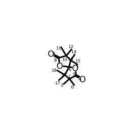 CC1(C)C(=O)OC2(OC(=O)C(C)(C)C2(C)C)C1(C)C